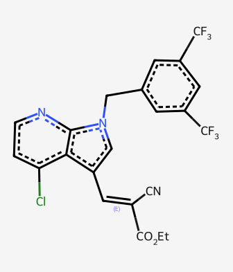 CCOC(=O)/C(C#N)=C/c1cn(Cc2cc(C(F)(F)F)cc(C(F)(F)F)c2)c2nccc(Cl)c12